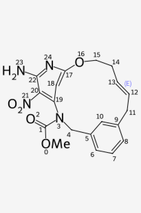 COC(=O)N1Cc2cccc(c2)C/C=C/CCOc2cc1c([N+](=O)[O-])c(N)n2